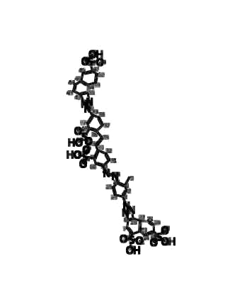 Cc1cc(-n2n3c4cc(S(=O)(=O)O)c5cc(S(=O)(=O)O)ccc5c4n23)ccc1N=Nc1ccc(C=Cc2ccc(-n3n4c5ccc6cc(S(=O)(=O)O)ccc6c5n34)cc2S(=O)(=O)O)c(S(=O)(=O)O)c1